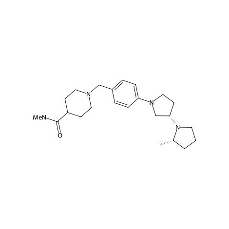 CNC(=O)C1CCN(Cc2ccc(N3CC[C@H](N4CCC[C@@H]4C)C3)cc2)CC1